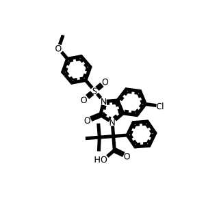 COc1ccc(S(=O)(=O)n2c(=O)n(C(C(=O)O)(c3ccccc3)C(C)(C)C)c3cc(Cl)ccc32)cc1